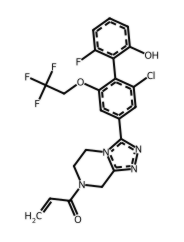 C=CC(=O)N1CCn2c(nnc2-c2cc(Cl)c(-c3c(O)cccc3F)c(OCC(F)(F)F)c2)C1